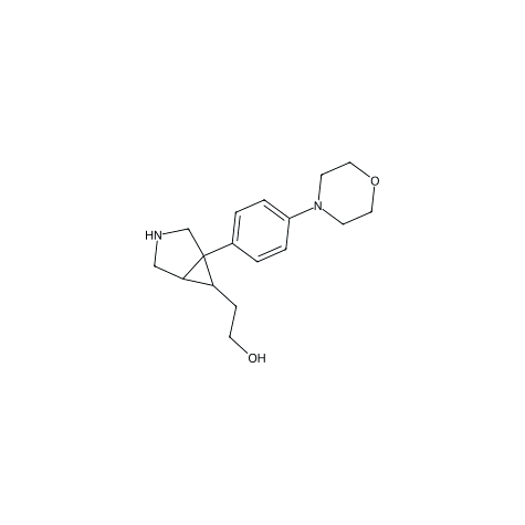 OCCC1C2CNCC12c1ccc(N2CCOCC2)cc1